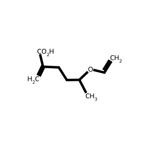 C=COC(C)CCC(=C)C(=O)O